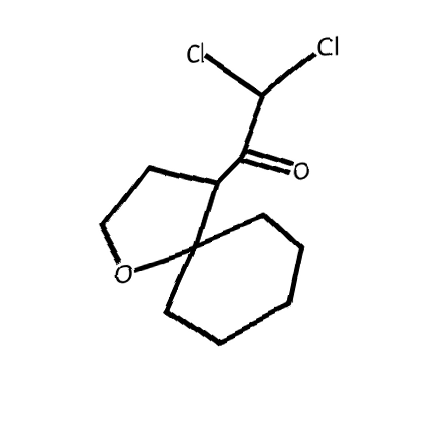 O=C(C(Cl)Cl)C1CCOC12CCCCC2